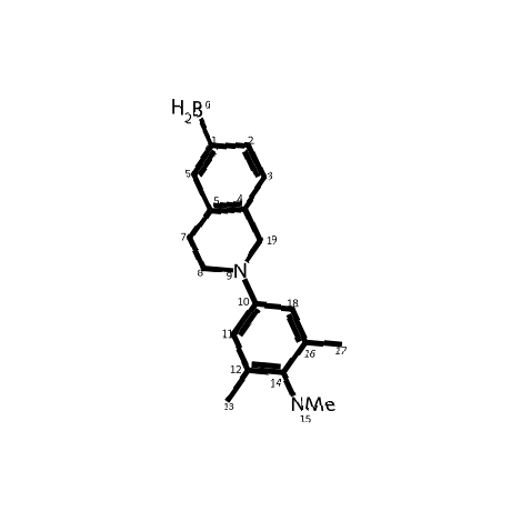 Bc1ccc2c(c1)CCN(c1cc(C)c(NC)c(C)c1)C2